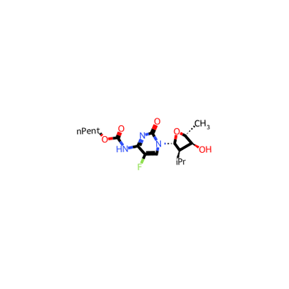 CCCCCOC(=O)Nc1nc(=O)n([C@@H]2O[C@H](C)[C@@H](O)[C@H]2C(C)C)cc1F